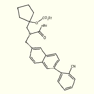 CCCCC(=O)N(Cc1ccc2cc(-c3ccccc3C#N)ccc2c1)CC1(OC(=O)OCC)CCCC1